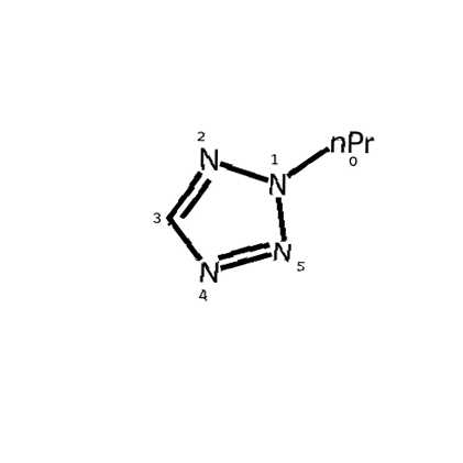 CCCn1n[c]nn1